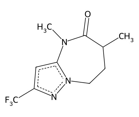 CC1CCn2nc(C(F)(F)F)cc2N(C)C1=O